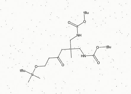 CC(CNC(=O)OC(C)(C)C)(CNC(=O)OC(C)(C)C)CC(=O)CCO[Si](C)(C)C(C)(C)C